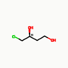 OCC[C@H](O)CCl